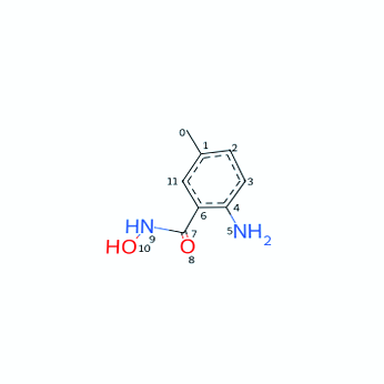 Cc1ccc(N)c(C(=O)NO)c1